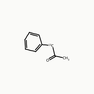 CC(=O)[13CH2]c1ccccc1